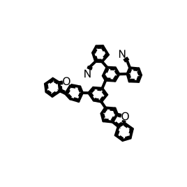 N#Cc1ccccc1-c1cc(-c2cc(-c3ccc4c(c3)oc3ccccc34)cc(-c3ccc4c(c3)oc3ccccc34)c2)cc(-c2ccccc2C#N)c1